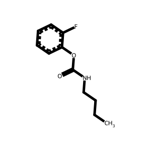 CCCCNC(=O)Oc1ccccc1F